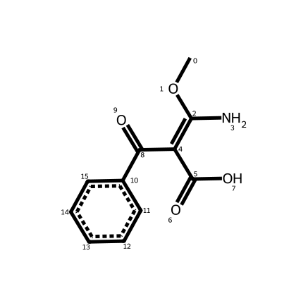 COC(N)=C(C(=O)O)C(=O)c1ccccc1